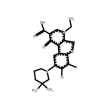 CCn1cc(C(=O)O)c(=O)c2c3cc(N4CCCC(C)(C)C4)c(Cl)c(F)c3ncc21